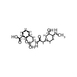 CNC1CCN(CC(=O)N[C@H]2Cc3cccc(C(=O)O)c3OB2O)CC1O